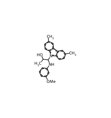 COc1cccc(NC(C(C)O)n2c3ccc(C)cc3c3cc(C)ccc32)c1